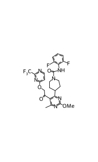 COc1nc(C)c(C(=O)COc2ccnc(C(F)(F)F)n2)c(C2CCN(C(=O)Nc3c(F)cccc3F)CC2)n1